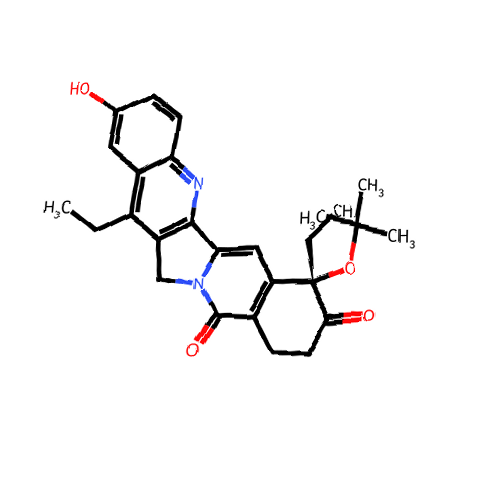 CCc1c2c(nc3ccc(O)cc13)-c1cc3c(c(=O)n1C2)CCC(=O)[C@@]3(CC)OC(C)(C)C